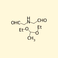 CCOC(C)OCC.O=CCNCC=O